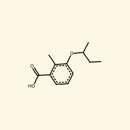 CCC(C)Oc1cccc(C(=O)O)c1C